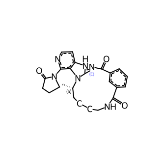 C[C@H]1CCCCNC(=O)c2cccc(c2)C(=O)/N=C2\Nc3ccnc(N4CCCC4=O)c3N21